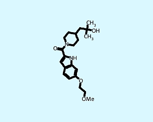 COCCOc1ccc2cc(C(=O)N3CCC(CC(C)(C)O)CC3)[nH]c2c1